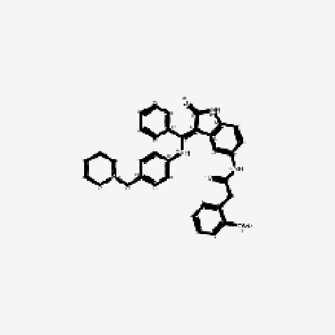 COc1ccccc1CC(=O)Nc1ccc2c(c1)C(=C(Nc1ccc(CN3CCCCC3)cc1)c1ccccc1)C(=O)N2